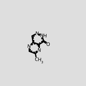 Cc1cnc2cn[nH]c(=O)c2n1